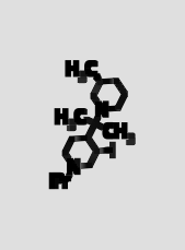 CC(C)N1CCC(C(C)(C)N2CCC[C@H](C)C2)[C@@H](I)C1